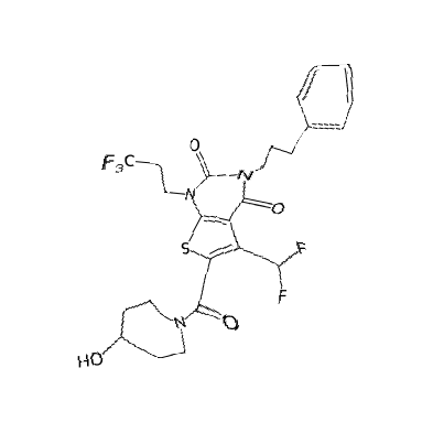 O=C(c1sc2c(c1C(F)F)c(=O)n(CCc1ccccc1)c(=O)n2CCC(F)(F)F)N1CCC(O)CC1